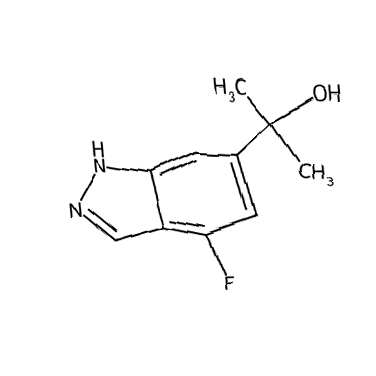 CC(C)(O)c1cc(F)c2cn[nH]c2c1